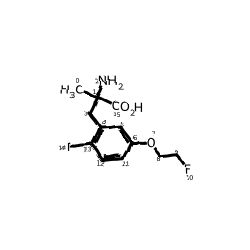 CC(N)(Cc1cc(OCCF)ccc1I)C(=O)O